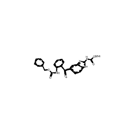 COC(=O)Nc1nc2cc(C(=O)c3ccccc3NC(=O)OCc3ccccc3)ccc2[nH]1